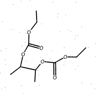 CCOC(=O)OC(C)C(C)OC(=O)OCC